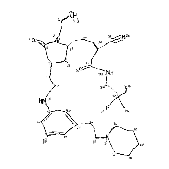 CCN1C(=O)C(CCNc2cccc(CCN3CCCCC3)c2)SC1CC(C#N)C(=O)NCC(F)(F)F